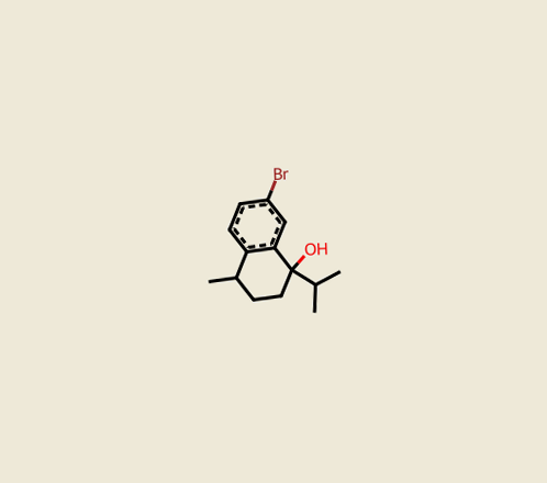 CC1CCC(O)(C(C)C)c2cc(Br)ccc21